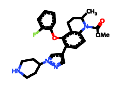 COC(=O)N1c2ccc(-c3cnn(C4CCNCC4)c3)c(Oc3ccccc3F)c2CCC1C